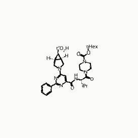 CCCCCCOC(=O)N1CCN(C(=O)[C@@H](NC(=O)c2cc(N3C[C@@H]4[C@H](C3)[C@@H]4C(=O)O)nc(-c3ccccc3)n2)C(C)C)CC1